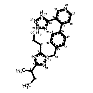 CCCc1nc(C(C)CC)nn1Cc1ccc(-c2ccncc2-c2nnn[nH]2)cc1